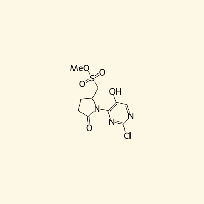 COS(=O)(=O)CC1CCC(=O)N1c1nc(Cl)ncc1O